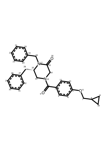 O=C(c1ccc(OCC2CC2)cc1)N1CC(=O)N(Cc2ccccc2)[C@@H](Cc2ccccc2)C1